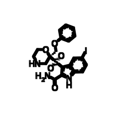 NC(=O)c1[nH]c2ccc(I)cc2c1S(=O)(=O)[C@@]1(COc2ccccc2)CNCCO1